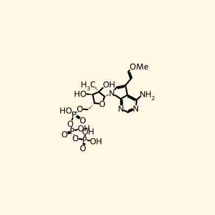 COC=Cc1cn([C@@H]2O[C@H](COP(=O)(O)OP(=O)(O)OP(=O)(O)O)[C@@H](O)[C@@]2(C)O)c2ncnc(N)c12